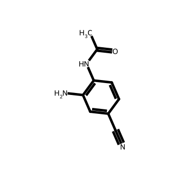 CC(=O)Nc1ccc(C#N)cc1N